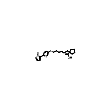 O=C(O)C1(CCCCCCOc2ccc(-c3ccn[nH]3)nc2)CCCC1